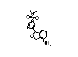 CN(C)S(=O)(=O)n1cnc(C2OCc3c(N)cccc32)c1